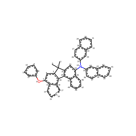 CC1(C)c2cc(Oc3ccccc3)c3ccccc3c2-c2c1cc(N(c1ccc3ccccc3c1)c1ccc3ccccc3c1)c1ccccc21